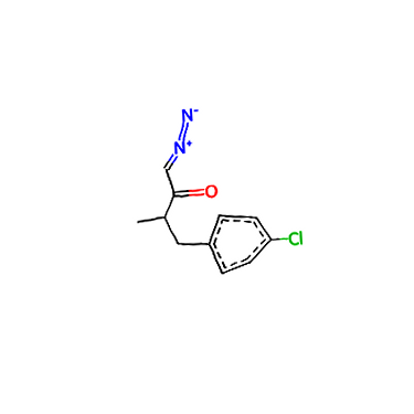 CC(Cc1ccc(Cl)cc1)C(=O)C=[N+]=[N-]